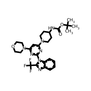 CC(C)(C)OC(=O)NC1CCN(c2cc(N3CCOCC3)nc(-n3c(C(F)(F)F)nc4ccccc43)n2)CC1